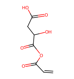 C=CC(=O)OC(=O)C(O)CC(=O)O